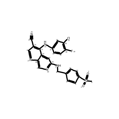 CS(=O)(=O)c1ccc(CNc2cc3c(Nc4ccc(F)c(Cl)c4)c(C#N)cnc3cn2)cc1